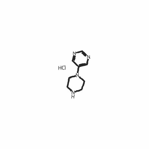 Cl.c1ncc(N2CCNCC2)cn1